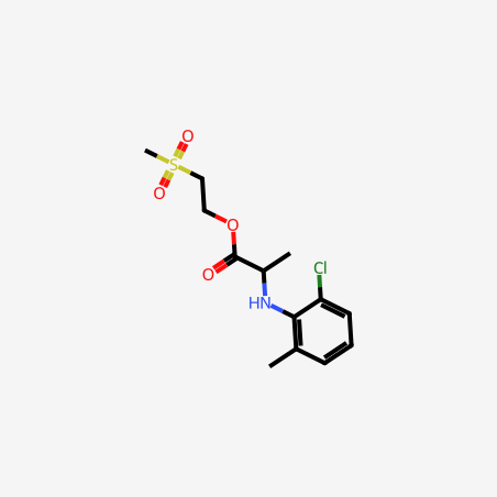 Cc1cccc(Cl)c1NC(C)C(=O)OCCS(C)(=O)=O